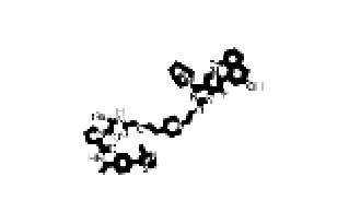 CCc1cccc2cc(O)cc(-c3ncc4c(N5CC6CCC(C5)N6)nc(OCCN5CCC(CCOCC(=O)NC(C(=O)N6CCCC6C(=O)NC(C)c6ccc(-c7scnc7C)cc6)C(C)(C)C)CC5)nc4c3F)c12